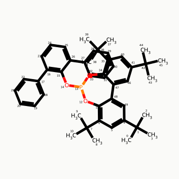 CC(C)(C)c1cc(C(C)(C)C)c2op(Oc3c(-c4ccccc4)cccc3-c3ccccc3)oc3c(C(C)(C)C)cc(C(C)(C)C)cc3c2c1